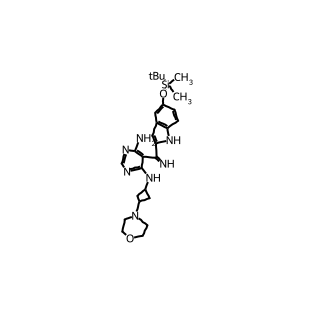 CC(C)(C)[Si](C)(C)Oc1ccc2[nH]c(C(=N)c3c(N)ncnc3NC3CC(N4CCOCC4)C3)cc2c1